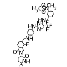 CN(c1cccc(CNc2nc(Nc3ccc(NCc4ccc5c(c4F)CN(C4CCC(=O)NC4=O)C5=O)cc3)ncc2C(F)(F)F)c1)S(C)(=O)=O